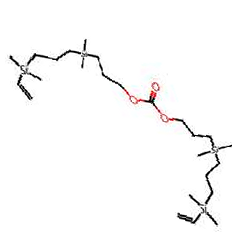 C=C[Si](C)(C)CCC[Si](C)(C)CCCOC(=O)OCCC[Si](C)(C)CCC[Si](C)(C)C=C